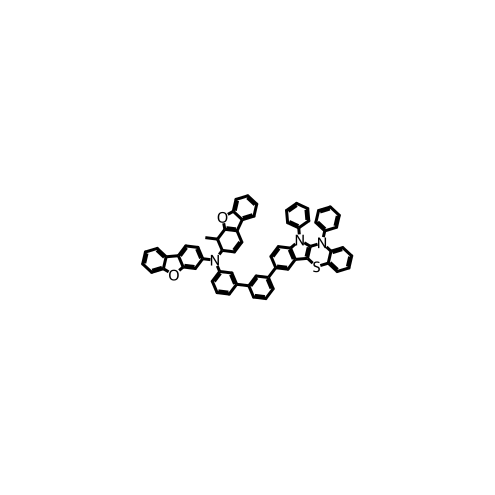 CC1c2oc3ccccc3c2C=CC1N(c1cccc(-c2cccc(-c3ccc4c(c3)c3c(n4-c4ccccc4)N(c4ccccc4)c4ccccc4S3)c2)c1)c1ccc2c(c1)oc1ccccc12